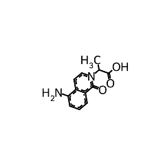 CC(C(=O)O)n1ccc2c(N)cccc2c1=O